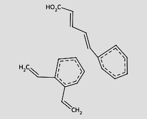 C=Cc1ccccc1C=C.O=C(O)C=CC=Cc1ccccc1